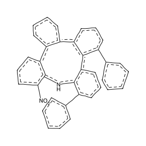 O=[N+]([O-])c1cccc2c1[nH]c1c(-c3ccccc3)cccc1c1c(-c3ccccc3)cccc1c1ccccc21